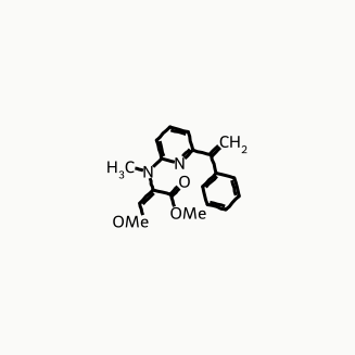 C=C(c1ccccc1)c1cccc(N(C)C(=COC)C(=O)OC)n1